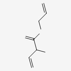 C=CCOC(=O)C(Cl)C=C